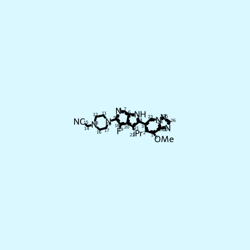 COc1cc(-c2[nH]c3cnc(N4CCN(CC#N)CC4)c(F)c3c2C(C)C)cn2ncnc12